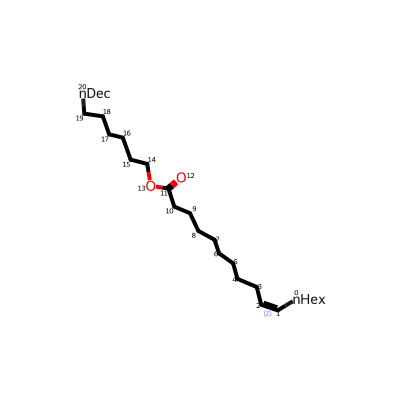 CCCCCC/C=C\CCCCCCCCC(=O)OCCCCCCCCCCCCCCCC